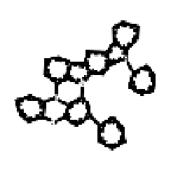 c1ccc(-c2cc3c4c(c2)-n2c5cc6c(cc5c5cccc(c52)B4c2ccccc2O3)c2ccccc2n6-c2ccccc2)cc1